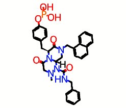 CN1CC(=O)N2[C@@H](Cc3ccc(OP(O)O)cc3)C(=O)N(Cc3cccc4ccccc34)C[C@@H]2N1C(=O)NCc1ccccc1